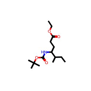 CCOC(=O)CCC(NC(=O)OC(C)(C)C)C(C)CC